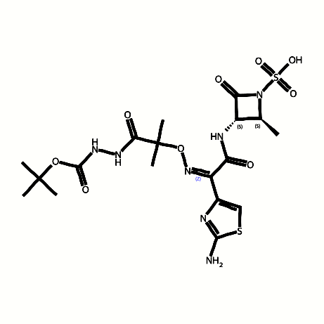 C[C@H]1[C@H](NC(=O)/C(=N\OC(C)(C)C(=O)NNC(=O)OC(C)(C)C)c2csc(N)n2)C(=O)N1S(=O)(=O)O